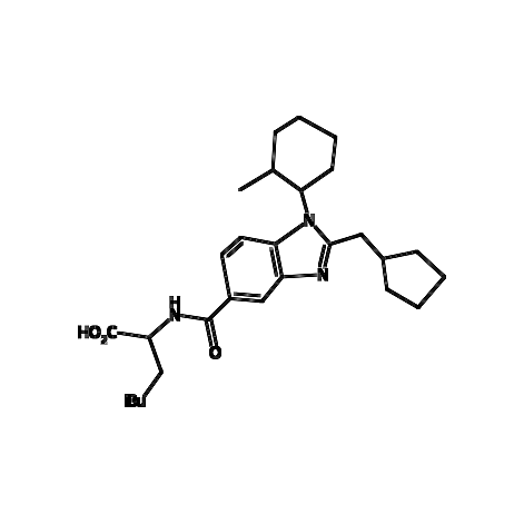 CCC(C)CC(NC(=O)c1ccc2c(c1)nc(CC1CCCC1)n2C1CCCCC1C)C(=O)O